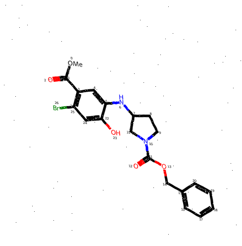 COC(=O)c1cc(NC2CCN(C(=O)OCc3ccccc3)C2)c(O)cc1Br